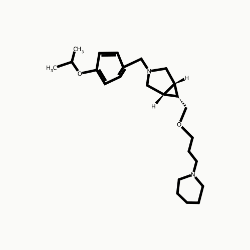 CC(C)Oc1ccc(CN2C[C@@H]3[C@H](COCCCN4CCCCC4)[C@@H]3C2)cc1